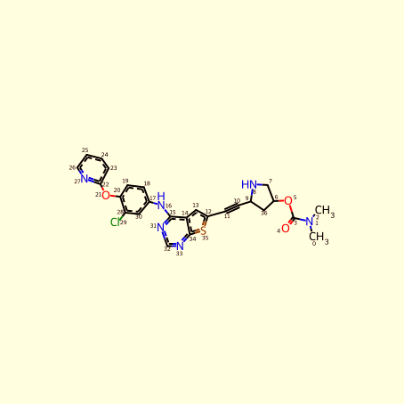 CN(C)C(=O)OC1CNC(C#Cc2cc3c(Nc4ccc(Oc5ccccn5)c(Cl)c4)ncnc3s2)C1